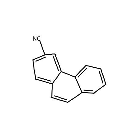 N#Cc1ccc2[c]cc3ccccc3c2c1